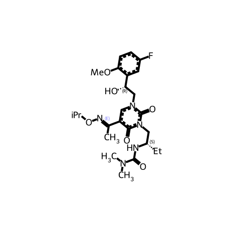 CC[C@@H](Cn1c(=O)c(/C(C)=N/OC(C)C)cn(C[C@H](O)c2cc(F)ccc2OC)c1=O)NC(=O)N(C)C